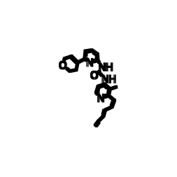 C=C/C=C/C=C\c1nccc(NC(=O)Nc2cccc(C3=CCOCC3)n2)c1C